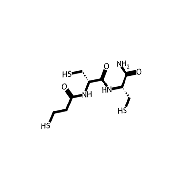 NC(=O)[C@H](CS)NC(=O)[C@@H](CS)NC(=O)CCS